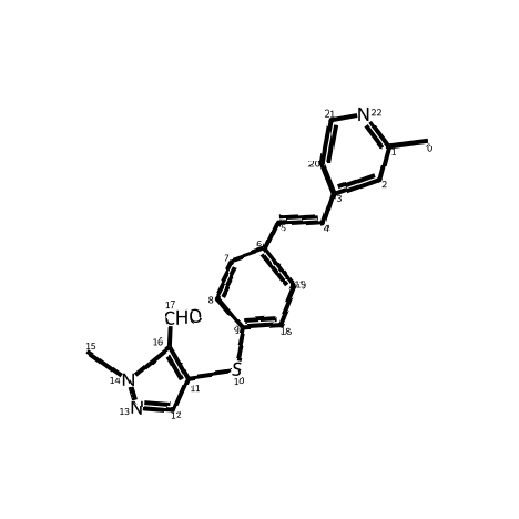 Cc1cc(/C=C/c2ccc(Sc3cnn(C)c3C=O)cc2)ccn1